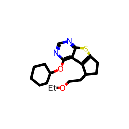 CCOCCC1CCc2sc3ncnc(OC4CCCCC4)c3c21